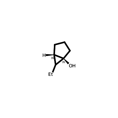 CCC1[C@@H]2CCC[C@]12O